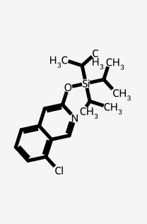 CC(C)[Si](Oc1cc2cccc(Cl)c2cn1)(C(C)C)C(C)C